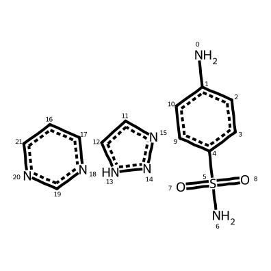 Nc1ccc(S(N)(=O)=O)cc1.c1c[nH]nn1.c1cncnc1